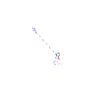 [N-]=[N+]=NCCOCCOCCOCCOCCOCCNc1cccc2c1CN(C1CCC(=O)NC1=O)C2=O